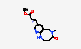 CN1Cc2cc(/C=C/C(=O)OC(C)(C)C)cnc2NCCC1=O